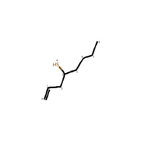 C=CCC(S)CCCC